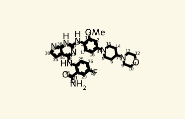 COc1cc(N2CCC(N3CCOCC3)CC2)ccc1Nc1nc(Nc2ccc(F)cc2C(N)=O)c2ccnc-2[nH]1